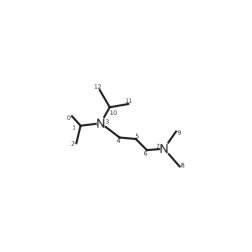 CC(C)N(CCCN(C)C)C(C)C